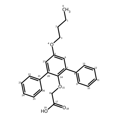 CCCCOc1cc(-c2ccccc2)c(OCC(=O)O)c(-c2ccccc2)c1